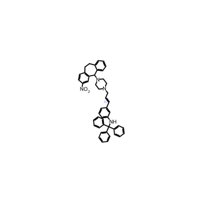 O=[N+]([O-])c1ccc2c(c1)C(N1CCN(C/C=C/c3cccc(NC(c4ccccc4)(c4ccccc4)c4ccccc4)c3)CC1)c1ccccc1CC2